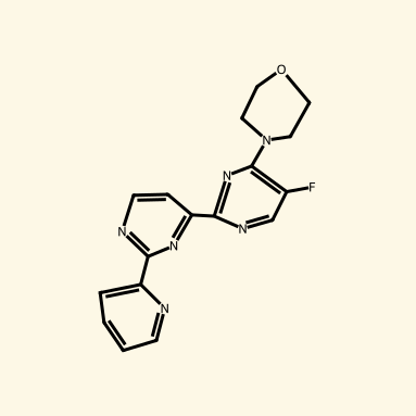 Fc1cnc(-c2ccnc(-c3ccccn3)n2)nc1N1CCOCC1